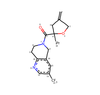 C=C1COC(C(=O)N2CCc3ncc(C(F)(F)F)cc3C2)(C(C)C)C1